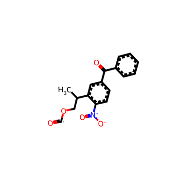 CC(CO[C]=O)c1cc(C(=O)c2ccccc2)ccc1[N+](=O)[O-]